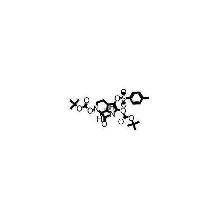 Cc1ccc(S(=O)(=O)OC2=C(OC(=O)OC(C)(C)C)N3C(=O)[C@@H]4[C@H]3C2CCN4OC(=O)OC(C)(C)C)cc1